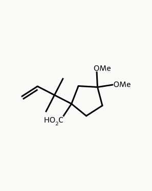 C=CC(C)(C)C1(C(=O)O)CCC(OC)(OC)C1